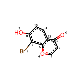 O=c1ccoc2c(Br)c(O)ccc12